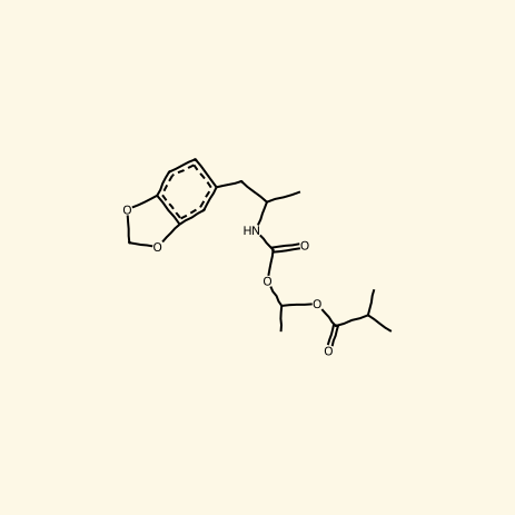 CC(Cc1ccc2c(c1)OCO2)NC(=O)OC(C)OC(=O)C(C)C